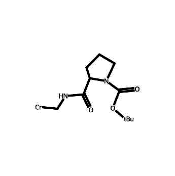 CC(C)(C)OC(=O)N1CCCC1C(=O)N[CH2][Cr]